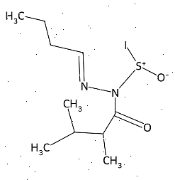 CCC/C=N/N(C(=O)C(C)C(C)C)[S+]([O-])I